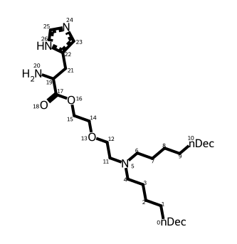 CCCCCCCCCCCCCCN(CCCCCCCCCCCCCC)CCOCCOC(=O)C(N)Cc1cnc[nH]1